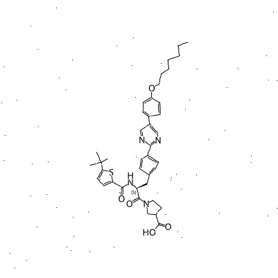 CCCCCCCOc1ccc(-c2cnc(-c3ccc(C[C@H](NC(=O)c4ccc(C(C)(C)C)s4)C(=O)N4CCC(C(=O)O)C4)cc3)nc2)cc1